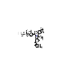 COc1cccc(C/C(C(=O)c2ccc(OC(C)C)cc2)=C(\C(=O)O)c2ccc3nsnc3c2)c1